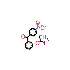 CC(=O)I.O=C(c1ccccc1)c1ccc([N+](=O)[O-])cc1